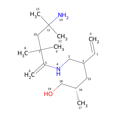 C=CC(CNC(=C)C(C)(C)CC(C)(C)N)C[C@H](C)CO